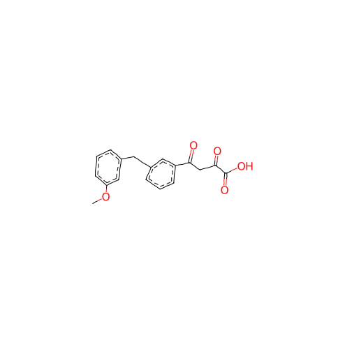 COc1cccc(Cc2cccc(C(=O)CC(=O)C(=O)O)c2)c1